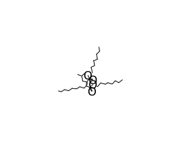 CCCCCCCCOC(=O)C(CCCCCCCC)=C(CC(C)C)C(=O)OCCCCCCCC